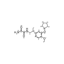 COc1ccc(C(C)CNC(=O)C(N)=O)cc1OC1CCCC1